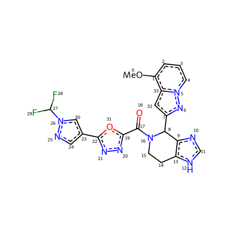 COc1cccn2nc(C3c4nc[nH]c4CCN3C(=O)c3nnc(-c4cnn(C(F)F)c4)o3)cc12